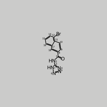 O=C(Nc1nnn[nH]1)c1ccc2c(Br)cccc2c1